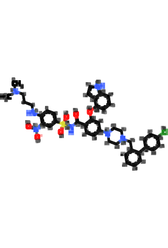 CN(C)CCCNc1ccc(S(=O)(=O)NC(=O)c2ccc(N3CCN(Cc4ccccc4-c4ccc(Cl)cc4)CC3)cc2Oc2cccc3[nH]ccc23)cc1[N+](=O)[O-]